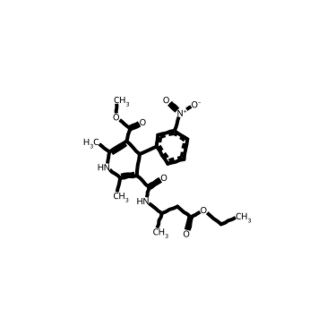 CCOC(=O)CC(C)NC(=O)C1=C(C)NC(C)=C(C(=O)OC)C1c1cccc([N+](=O)[O-])c1